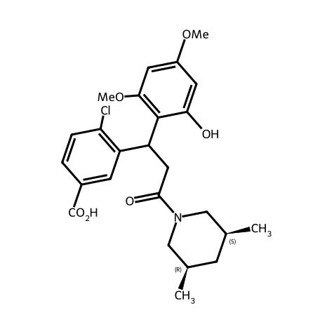 COc1cc(O)c(C(CC(=O)N2C[C@H](C)C[C@H](C)C2)c2cc(C(=O)O)ccc2Cl)c(OC)c1